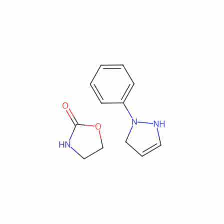 C1=CNN(c2ccccc2)C1.O=C1NCCO1